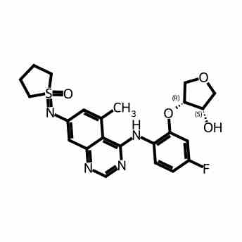 Cc1cc(N=S2(=O)CCCC2)cc2ncnc(Nc3ccc(F)cc3O[C@@H]3COC[C@@H]3O)c12